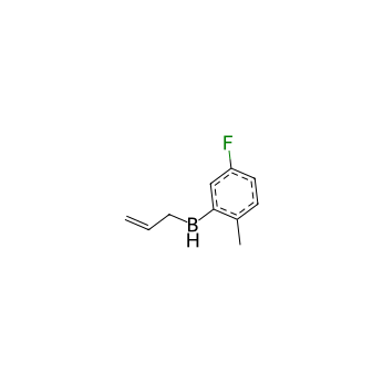 C=CCBc1cc(F)ccc1C